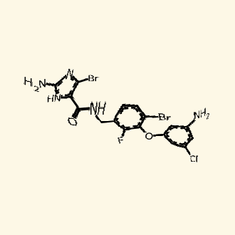 Nc1cc(Cl)cc(Oc2c(Br)ccc(CNC(=O)c3[nH]c(N)nc3Br)c2F)c1